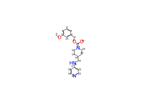 COc1cccc(COC(=O)N2CCC(CNc3ccncc3)CC2)c1